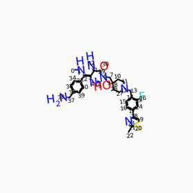 CN/C(=C1/N=CN(CC2(O)CCN(Cc3ccc(-c4csc(C)n4)cc3F)CC2)C(=O)C1=N)c1ccc(CN)cc1